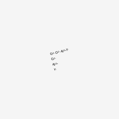 [Al+3].[Al+3].[O-2].[O-2].[O-2].[Y].[Y]